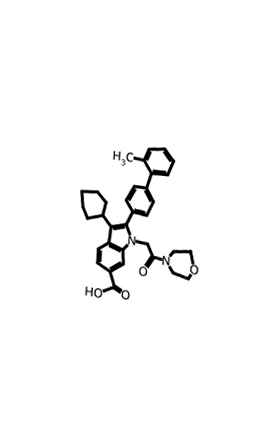 Cc1ccccc1-c1ccc(-c2c(C3CCCCC3)c3ccc(C(=O)O)cc3n2CC(=O)N2CCOCC2)cc1